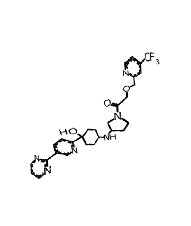 O=C(COCc1cc(C(F)(F)F)ccn1)N1CCC(NC2CCC(O)(c3ccc(-c4ncccn4)cn3)CC2)C1